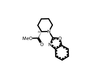 COC(=O)[C@@H]1CCCCN1c1nc2ccccc2o1